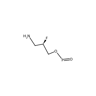 NC[C@@H](F)COP=O